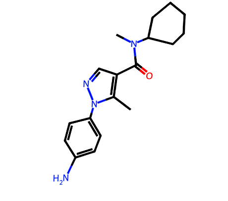 Cc1c(C(=O)N(C)C2CCCCC2)cnn1-c1ccc(N)cc1